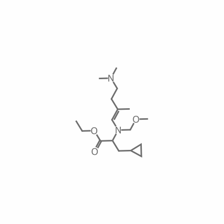 CCOC(=O)C(CC1CC1)N(/C=C(\C)CCN(C)C)COC